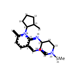 C=N/C=c1/ccc(=C)n(C2CCCC2C)/c1=N/C1CCN(SC)CC1